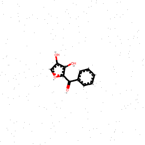 O=C(c1ccccc1)c1occ(O)c1O